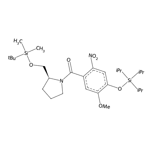 COc1cc(C(=O)N2CCC[C@H]2CO[Si](C)(C)C(C)(C)C)c([N+](=O)[O-])cc1O[Si](C(C)C)(C(C)C)C(C)C